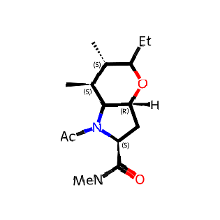 CCC1O[C@@H]2C[C@@H](C(=O)NC)N(C(C)=O)C2[C@@H](C)[C@@H]1C